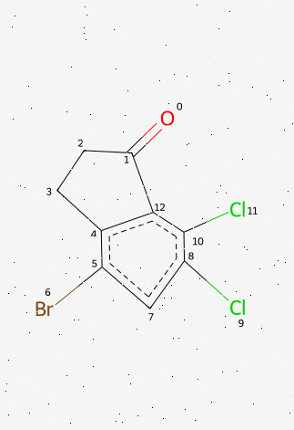 O=C1CCc2c(Br)cc(Cl)c(Cl)c21